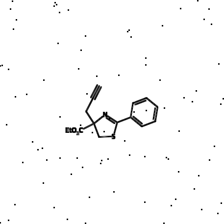 C#CCC1(C(=O)OCC)CSC(c2ccccc2)=N1